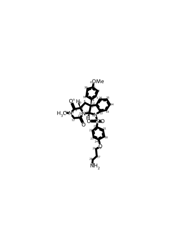 COc1ccc([C@]23C[C@H]4C(=O)N(C)CC(=O)N4[C@H]2N(S(=O)(=O)c2ccc(OCCCN)cc2)c2ccccc23)cc1